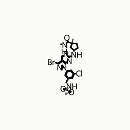 CNC(=O)[C@]1(C)CC[C@@H](Nc2ncc3c(Br)nn(-c4cc(Cl)cc(CNS(C)(=O)=O)c4)c3n2)C1